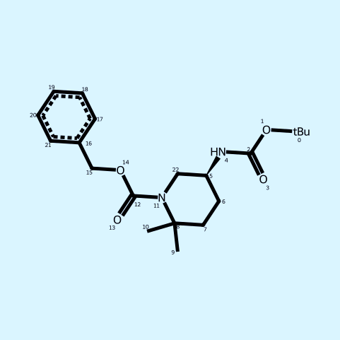 CC(C)(C)OC(=O)N[C@H]1CCC(C)(C)N(C(=O)OCc2ccccc2)C1